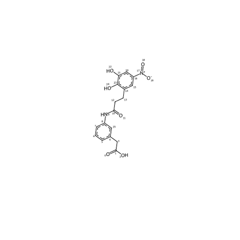 O=C(O)Cc1cccc(NC(=O)CCc2cc([N+](=O)[O-])cc(O)c2O)c1